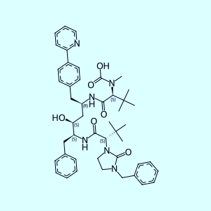 CN(C(=O)O)[C@H](C(=O)N[C@H](Cc1ccc(-c2ccccn2)cc1)C[C@H](O)[C@H](Cc1ccccc1)NC(=O)[C@@H](N1CCN(Cc2ccccc2)C1=O)C(C)(C)C)C(C)(C)C